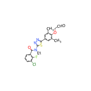 CCN(C(=O)c1cccc(Cl)c1F)c1nnc(-c2cc(C)c(OCC=O)c(C)c2)s1